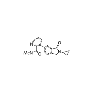 CNC(=O)c1ncccc1-c1ccc2c(c1)C(=O)N(C1CC1)C2